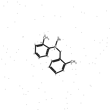 Cc1ccccc1CN(c1ccccc1C)C(C)C